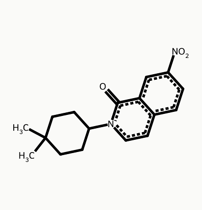 CC1(C)CCC(n2ccc3ccc([N+](=O)[O-])cc3c2=O)CC1